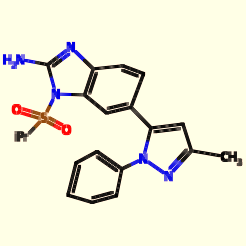 Cc1cc(-c2ccc3nc(N)n(S(=O)(=O)C(C)C)c3c2)n(-c2ccccc2)n1